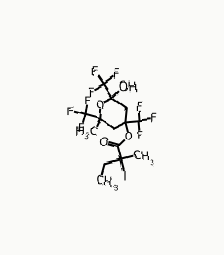 CCC(C)(I)C(=O)OC1(C(F)(F)F)CC(C)(C(F)(F)F)OC(O)(C(F)(F)F)C1